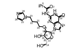 CC(C)C(=O)Nc1nc2c(ncn2[C@@H]2O[C@H](CO)[C@@H](O)[C@H]2OCCCCn2ccnc2)c(=O)[nH]1